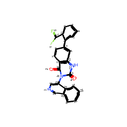 O=c1[nH]c2cc(-c3ccccc3C(F)F)ccc2c(=O)n1-c1cncc2ccccc12